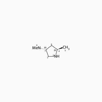 CN[C@H]1CN[C@H](C)C1